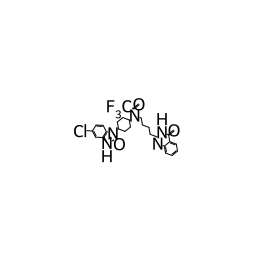 O=C(N(CCCCc1nc2ccccc2c(=O)[nH]1)C1CCC(n2c(=O)[nH]c3cc(Cl)ccc32)CC1)C(F)(F)F